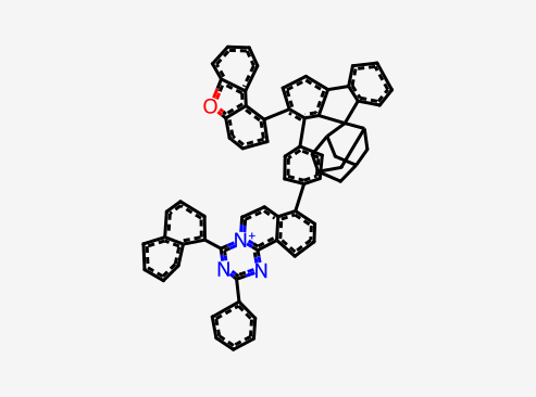 c1ccc(-c2nc(-c3cccc4ccccc34)[n+]3ccc4c(-c5ccc(-c6c(-c7cccc8oc9ccccc9c78)ccc7c6C6(c8ccccc8-7)C7CC8CC(C7)CC6C8)cc5)cccc4c3n2)cc1